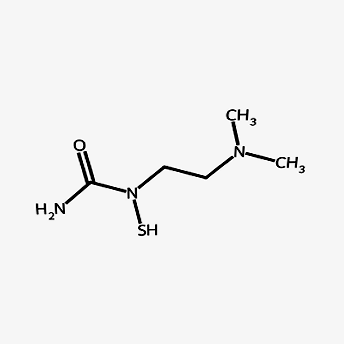 CN(C)CCN(S)C(N)=O